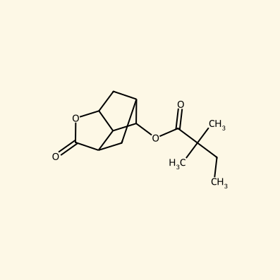 CCC(C)(C)C(=O)OC1C2CC3OC(=O)C(C2)C31